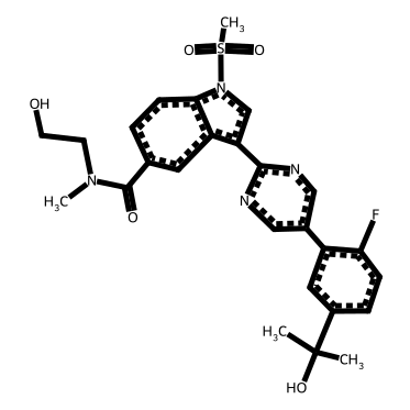 CN(CCO)C(=O)c1ccc2c(c1)c(-c1ncc(-c3cc(C(C)(C)O)ccc3F)cn1)cn2S(C)(=O)=O